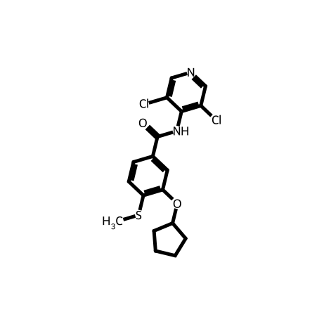 CSc1ccc(C(=O)Nc2c(Cl)cncc2Cl)cc1OC1CCCC1